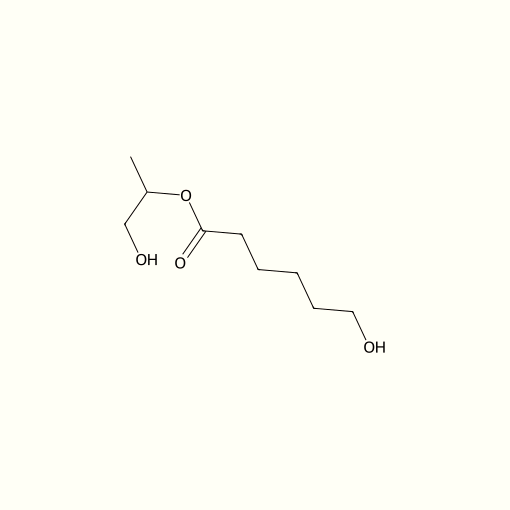 CC(CO)OC(=O)CCCCCO